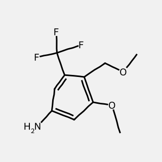 COCc1c(OC)cc(N)cc1C(F)(F)F